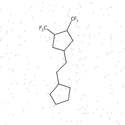 FC(F)(F)C1CC(CCC2CCCC2)CC1C(F)(F)F